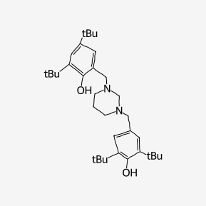 CC(C)(C)c1cc(CN2CCCN(Cc3cc(C(C)(C)C)c(O)c(C(C)(C)C)c3)C2)c(O)c(C(C)(C)C)c1